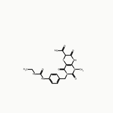 CCNC(=O)Nc1ccc(Cn2c(=O)c3c(n(C)c2=O)NC(=O)C(C(=O)O)S3)cc1